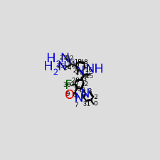 Cc1ccnc(N(C)C(=O)c2ccc(C3=CNC4C=CC(/C(=C/N)CN)=CN34)cc2F)c1